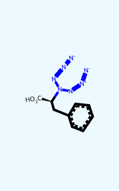 [N-]=[N+]=NN(N=[N+]=[N-])[C@@H](Cc1ccccc1)C(=O)O